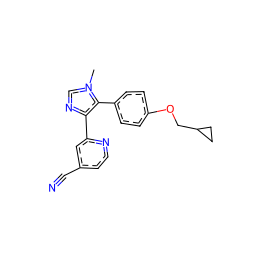 Cn1cnc(-c2cc(C#N)ccn2)c1-c1ccc(OCC2CC2)cc1